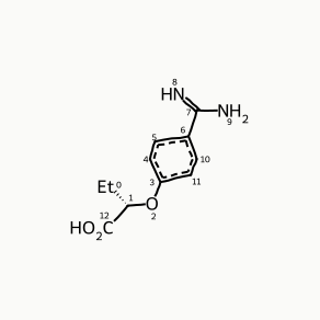 CC[C@H](Oc1ccc(C(=N)N)cc1)C(=O)O